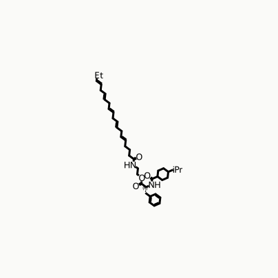 CCC=CCC=CCC=CCC=CCC=CCCCC(=O)NCCOC(=O)[C@@H](Cc1ccccc1)NC(=O)C1CCC(C(C)C)CC1